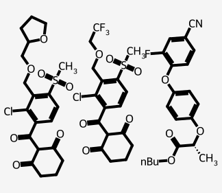 CCCCOC(=O)[C@@H](C)Oc1ccc(Oc2ccc(C#N)cc2F)cc1.CS(=O)(=O)c1ccc(C(=O)C2C(=O)CCCC2=O)c(Cl)c1COCC(F)(F)F.CS(=O)(=O)c1ccc(C(=O)C2C(=O)CCCC2=O)c(Cl)c1COCC1CCCO1